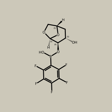 OB(O[C@H]1[C@H]2OC[C@H](C[C@@H]1O)O2)c1c(F)c(F)c(F)c(F)c1F